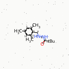 Cc1cc(C)c(CNNC(=O)C(C)(C)C)c(C)c1